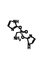 NCP(=O)(Oc1ncc[nH]1)Oc1ncc[nH]1